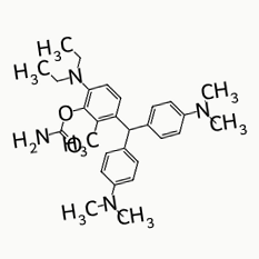 CCN(CC)c1ccc(C(c2ccc(N(C)C)cc2)c2ccc(N(C)C)cc2)c(C)c1OC(N)=O